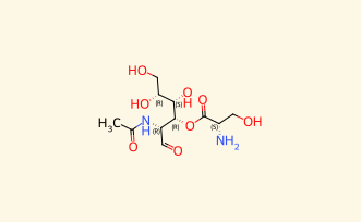 CC(=O)N[C@@H](C=O)[C@@H](OC(=O)[C@@H](N)CO)[C@@H](O)[C@H](O)CO